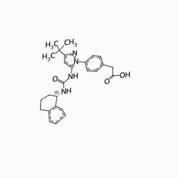 CC(C)(C)c1cc(NC(=O)N[C@H]2CCCc3ccccc32)n(-c2ccc(CC(=O)O)cc2)n1